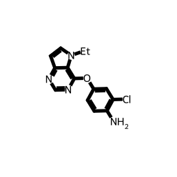 [CH2]Cn1ccc2ncnc(Oc3ccc(N)c(Cl)c3)c21